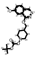 COc1ccc2cnnc(OCC3CCN(OC(=O)OC(C)(C)C)CC3)c2c1